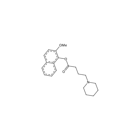 COc1ccc2ccccc2c1OC(=O)CCCN1CCCCC1